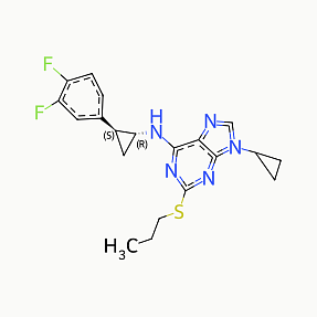 CCCSc1nc(N[C@@H]2C[C@H]2c2ccc(F)c(F)c2)c2ncn(C3CC3)c2n1